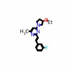 CCOC1CCN(c2cc(C)nc(C=Cc3cccc(F)c3)n2)C1